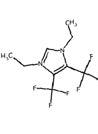 CCn1c[n+](CC)c(C(F)(F)F)c1C(F)(F)F